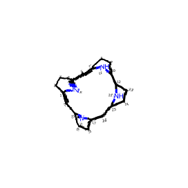 C1=C2CCC(=N2)C=C2CCC(N2)C2CCC(CC3CCC1=N3)N2